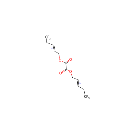 O=C(OC/C=C/CC(F)(F)F)C(=O)OC/C=C/CC(F)(F)F